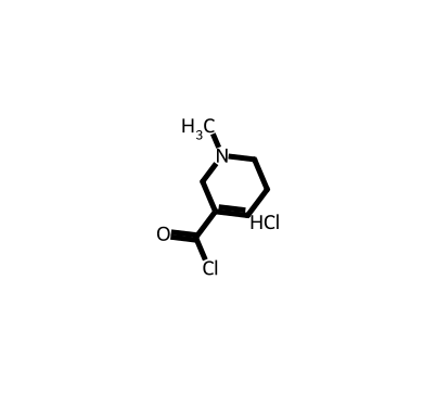 CN1CCC=C(C(=O)Cl)C1.Cl